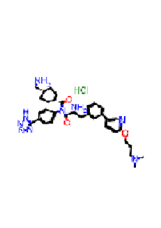 CN(C)CCCOc1ccc(-c2cccc(C[C@H](N)C(=O)N(c3ccc(-c4nnn[nH]4)cc3)C(=O)[C@H]3CC[C@H](CN)CC3)c2)cn1.Cl